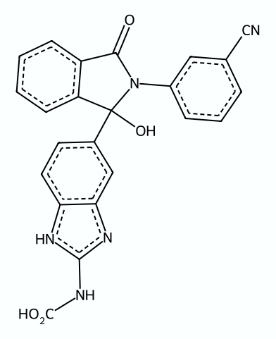 N#Cc1cccc(N2C(=O)c3ccccc3C2(O)c2ccc3[nH]c(NC(=O)O)nc3c2)c1